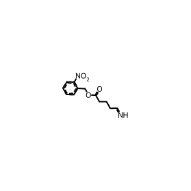 N=CCCCC(=O)OCc1ccccc1[N+](=O)[O-]